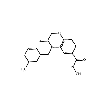 O=C(NO)C1=CC2=C(CC1)OCC(=O)N2CC1C=CCC(C(F)(F)F)C1